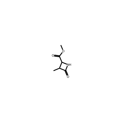 COC(=O)C1NC(=O)C1C